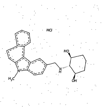 Cl.Cn1c2ccc(CN[C@H]3[C@H](O)CCC[C@@H]3O)cc2c2c3ccccc3ccc21